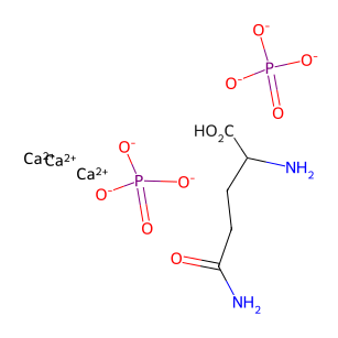 NC(=O)CCC(N)C(=O)O.O=P([O-])([O-])[O-].O=P([O-])([O-])[O-].[Ca+2].[Ca+2].[Ca+2]